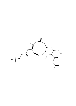 CCCC(CC1CC/C=C\C(CC(=O)CCC(C)(C)C)=C(\C)CC(=O)C1)C(CC)C(=O)CC(C)=O